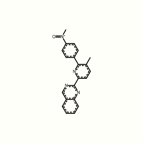 Cc1ccc(-c2ncc3ccccc3n2)nc1-c1ccc([N+](C)=O)cc1